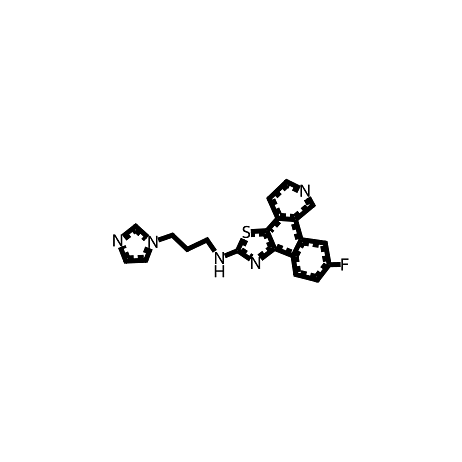 Fc1ccc2c(c1)c1cnccc1c1sc(NCCCn3ccnc3)nc21